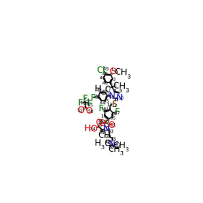 COc1cc(C(C)(C)c2cnc(SCc3c(F)cc(S(=O)(=O)N(CCC[N+](C)(C)C)[C@@H](C)C(=O)O)cc3F)n2-c2ccc(F)cc2)ccc1Cl.O=C([O-])C(F)(F)F